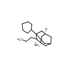 CCC[C@]1(N)C2CC3C[C@@H](C2)CC1(C1CCCCC1)C3